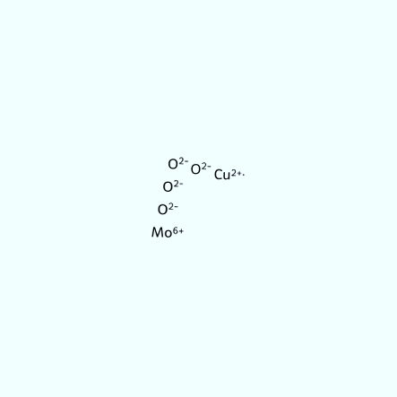 [Cu+2].[Mo+6].[O-2].[O-2].[O-2].[O-2]